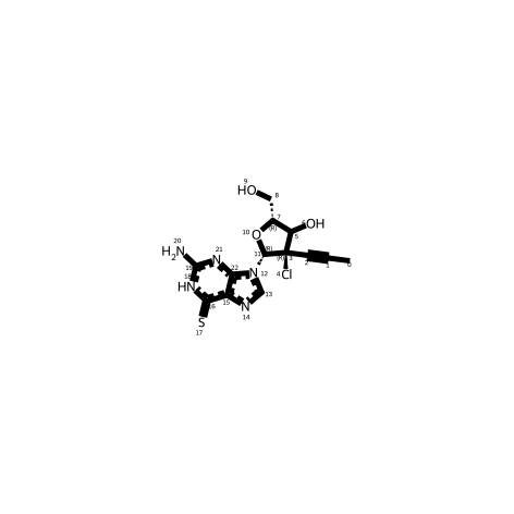 CC#C[C@@]1(Cl)C(O)[C@@H](CO)O[C@H]1n1cnc2c(=S)[nH]c(N)nc21